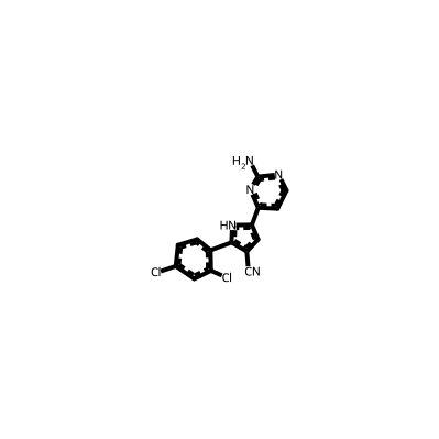 N#Cc1cc(-c2ccnc(N)n2)[nH]c1-c1ccc(Cl)cc1Cl